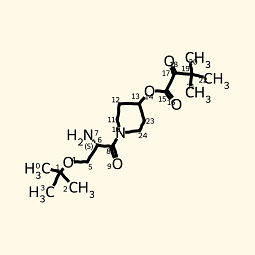 CC(C)(C)OC[C@H](N)C(=O)N1CCC(OC(=O)C(=O)C(C)(C)C)CC1